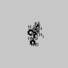 Cc1c(S(=O)(=O)NC(C)C(F)(F)F)c2n(c1C(=O)Nc1ccnc(Cl)c1)CCCC=C2